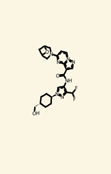 O=C(Nc1cn([C@H]2CC[C@H](CO)CC2)nc1C(F)F)c1cnn2ccc(N3CC4CC(C3)O4)nc12